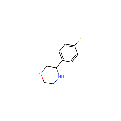 Fc1ccc(C2COCCN2)cc1